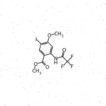 COC(=O)c1cc(I)c(OC)cc1NC(=O)C(F)(F)F